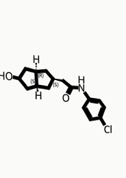 O=C(C[C@H]1C[C@H]2CC(O)C[C@H]2C1)Nc1ccc(Cl)cc1